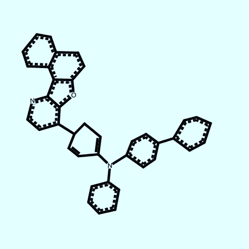 C1=CC(c2ccnc3c2oc2ccc4ccccc4c23)CC=C1N(c1ccccc1)c1ccc(-c2ccccc2)cc1